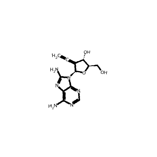 C=C=C1[C@H](n2c(N)nc3c(N)ncnc32)O[C@H](CO)[C@H]1O